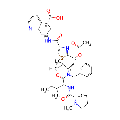 CCC(C)C(NC(=O)C1CCCCN1C)C(=O)N(Cc1ccccc1)[C@H](C[C@@H](OC(C)=O)c1nc(C(=O)N[C@H]2Cc3ncccc3[C@H](C(=O)O)C2)cs1)C(C)C